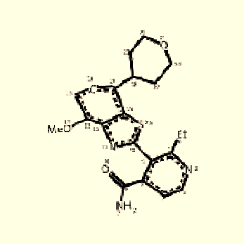 CCc1nccc(C(N)=O)c1-c1nc2c(OC)ccc(C3CCOCC3)c2s1